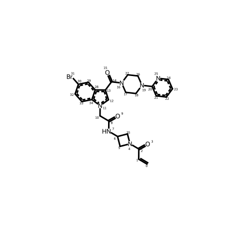 C=CC(=O)N1CC(NC(=O)Cn2cc(C(=O)N3CCN(c4ccccn4)CC3)c3cc(Br)ccc32)C1